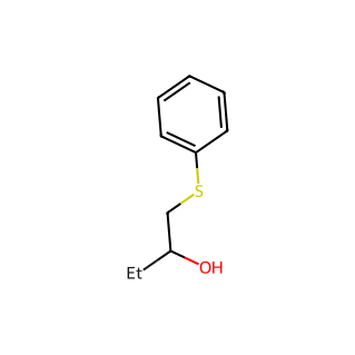 CCC(O)CSc1ccccc1